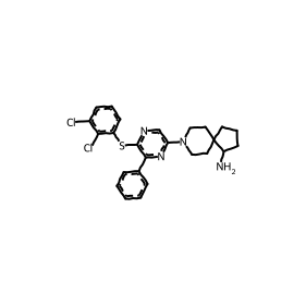 NC1CCCC12CCN(c1cnc(Sc3cccc(Cl)c3Cl)c(-c3ccccc3)n1)CC2